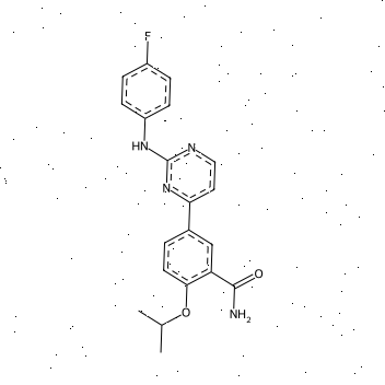 CC(C)Oc1ccc(-c2ccnc(Nc3ccc(F)cc3)n2)cc1C(N)=O